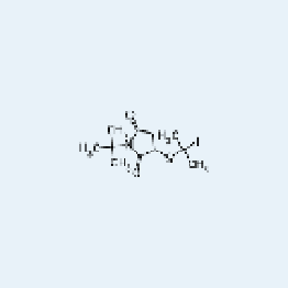 CC(C)(I)SC1CC(=O)N(C(C)(C)C)C1=O